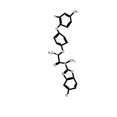 C[C@@H](Oc1ccc(Oc2ccc(C#N)cc2F)cc1)C(=O)N(C)c1nc2cc(Cl)ccc2o1